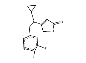 Cc1ncc(CN(C2=CC(=O)OC2)C2CC2)cc1F